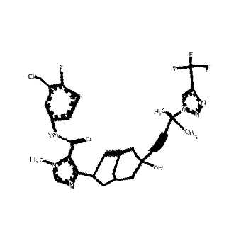 Cn1cnc(C2CC3CC(O)(C#CC(C)(C)n4cc(C(F)(F)F)nn4)CC3C2)c1C(=O)Nc1ccc(F)c(Cl)c1